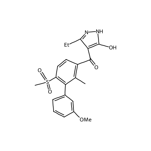 CCc1n[nH]c(O)c1C(=O)c1ccc(S(C)(=O)=O)c(-c2cccc(OC)c2)c1C